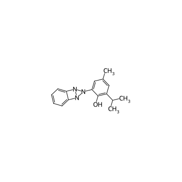 Cc1cc(C(C)C)c(O)c(-n2n3c4ccccc4n23)c1